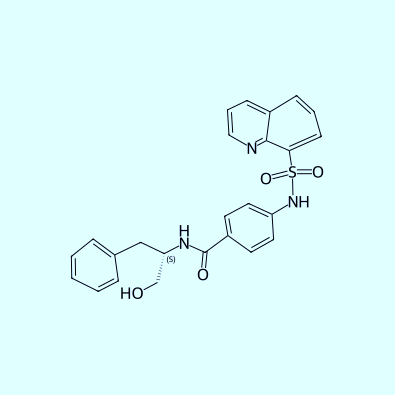 O=C(N[C@H](CO)Cc1ccccc1)c1ccc(NS(=O)(=O)c2cccc3cccnc23)cc1